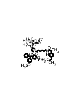 [C-]#[N+]CCOP(O[C@@H]1C[C@@H](COC(c2ccccc2)(c2ccc(OC)cc2)c2ccc(OC)cc2)N(C(=O)CCCCCNC(=O)[C@@H](C)c2ccc(CC(C)C)cc2)C1)N(C(C)C)C(C)C